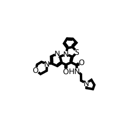 O=C(NCCN1CCCC1)c1c(=O)c2cc(N3CCOCC3)cnc2n2c1sc1ccccc12